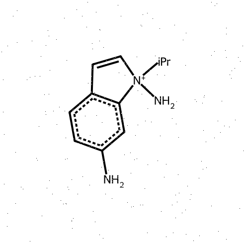 CC(C)[N+]1(N)C=Cc2ccc(N)cc21